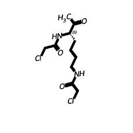 CC(=O)[C@H](CCCCNC(=O)CCl)NC(=O)CCl